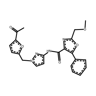 COCc1nc(C(=O)Nc2ccn(Cc3ccc(C(C)=O)o3)n2)c(-c2ccccc2)o1